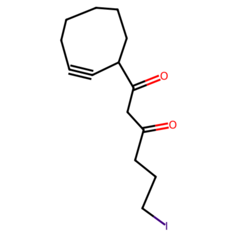 O=C(CCCI)CC(=O)C1C#CCCCCC1